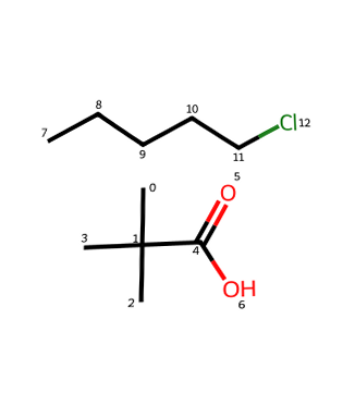 CC(C)(C)C(=O)O.CCCCCCl